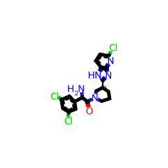 NC(C(=O)N1CCC[C@H](c2nc3nc(Cl)ccc3[nH]2)C1)c1cc(Cl)cc(Cl)c1